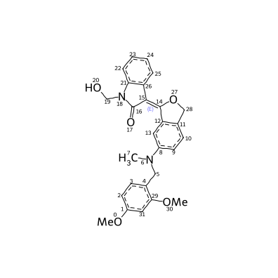 COc1ccc(CN(C)c2ccc3c(c2)/C(=C2\C(=O)N(CO)c4ccccc42)OC3)c(OC)c1